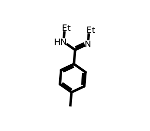 CCN=C(NCC)c1ccc(C)cc1